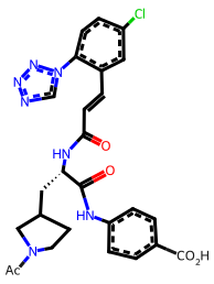 CC(=O)N1CCC(C[C@H](NC(=O)/C=C/c2cc(Cl)ccc2-n2cnnn2)C(=O)Nc2ccc(C(=O)O)cc2)C1